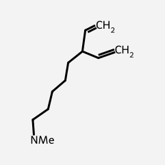 C=CC(C=C)CCCCCNC